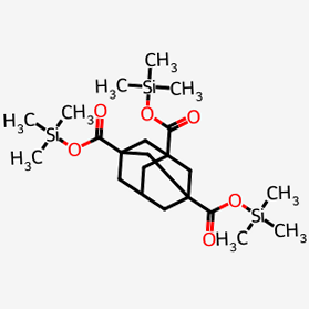 C[Si](C)(C)OC(=O)C12CC3CC(C(=O)O[Si](C)(C)C)(C1)CC(C(=O)O[Si](C)(C)C)(C3)C2